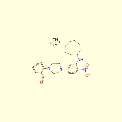 C.C.O=Cc1ccccc1N1CCN(c2ccc([N+](=O)[O-])c(NC3[CH]CCCCCC3)c2)CC1